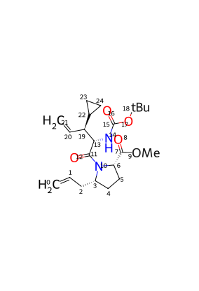 C=CC[C@H]1CC[C@@H](C(=O)OC)N1C(=O)[C@@H](NC(=O)OC(C)(C)C)[C@@H](C=C)C1CC1